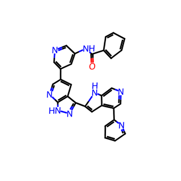 O=C(Nc1cncc(-c2cnc3[nH]nc(-c4cc5c(-c6ccccn6)cncc5[nH]4)c3c2)c1)c1ccccc1